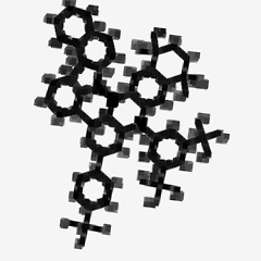 CC(C)(C)c1ccc(-c2cc3c4c(c2)N(c2cc(C(C)(C)C)cc(C(C)(C)C)c2)c2cc5c(cc2B4n2c4ccc6ccccc6c4c4cccc-3c42)C(C)(C)CCC5(C)C)cc1